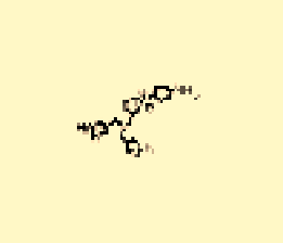 Nc1ccc(S(=O)(=O)N2CCCC(CN(Cc3cn[nH]c3)Cc3cn[nH]c3)C2)cc1